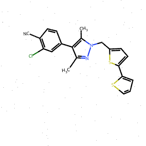 Cc1nn(Cc2ccc(-c3cccs3)s2)c(C)c1-c1ccc(C#N)c(Cl)c1